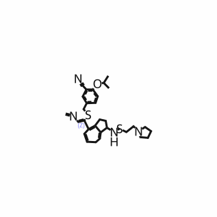 C=N/C=C(\SCc1ccc(OC(C)C)c(C#N)c1)C1=C2CCC(NSCCN3CCCC3)C2=CCC=C1